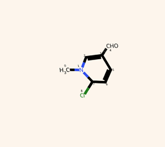 CN1C=C(C=O)C=CC1Cl